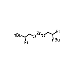 CCCCC(CC)C[O][Zr][O]CC(CC)CCCC